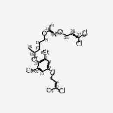 CCc1cc(OCC=C(Cl)Cl)cc(CC)c1OC(C)CCCOC(C)=NOCC=C(Cl)Cl